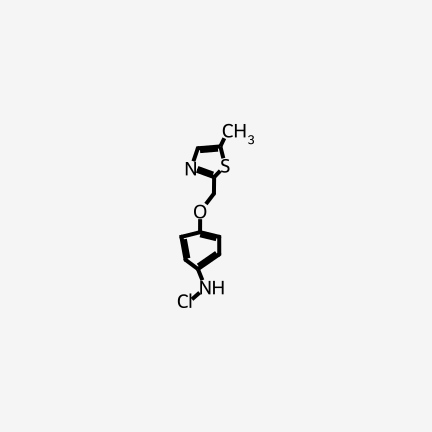 Cc1cnc(COc2ccc(NCl)cc2)s1